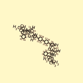 CC(C)(C)OC(=O)N[C@@H](C(=O)N1[C@@H]2C[C@@H]2C[C@H]1c1nc(-c2ccc(-c3ccc(-c4c[nH]c([C@@H]5C[C@H]6C[C@H]6N5C(=O)[C@H](NC(=O)OC(C)(C)C)c5ccccc5)n4)cc3)cc2)c[nH]1)c1ccccc1